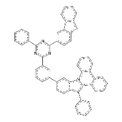 c1ccc(-c2nc(-c3cccc(-c4ccc5c(-c6ccccc6)c6c7ccccc7c7ccccc7n6c5c4)c3)nc(-c3ccc4sc5ccccc5c4c3)n2)cc1